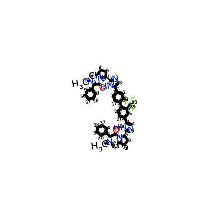 CN(C)[C@@H](C(=O)N1CCC[C@H]1c1ncc(-c2ccc(-c3ccc(-c4cnc([C@@H]5CCCN5C(=O)[C@@H](c5ccccc5)N(C)C)[nH]4)cc3C(F)(F)F)cc2)[nH]1)c1ccccc1